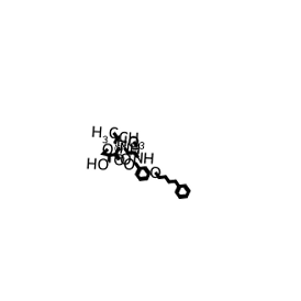 CC(C)C[C@H](NC(=O)[C@H](CO)NC(=O)c1cccc(OCCCCc2ccccc2)c1)C(=O)C1(CO)CO1